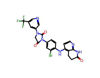 O=C1CCc2c(Nc3ccc(N4C(=O)CN(c5cncc(C(F)(F)F)c5)C4=O)cc3Br)ccnc2N1